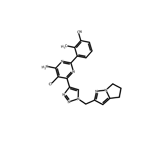 Cc1c(C#N)cccc1-c1nc(N)c(Cl)c(-c2cn(Cc3cc4n(n3)CCC4)nn2)n1